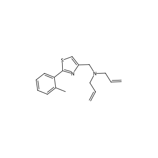 C=CCN(CC=C)Cc1csc(-c2ccccc2C)n1